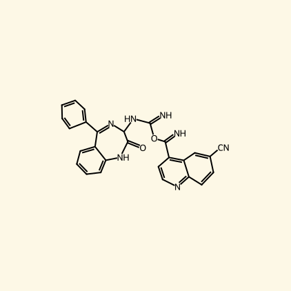 N#Cc1ccc2nccc(C(=N)OC(=N)NC3N=C(c4ccccc4)c4ccccc4NC3=O)c2c1